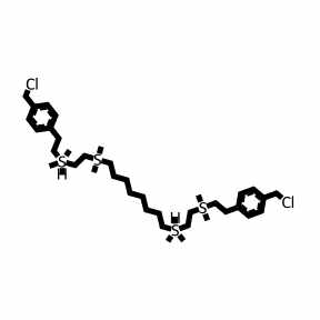 CS(C)(CCc1ccc(CCl)cc1)CC[SH](C)(C)(C)CCCCCCCCS(C)(C)CC[SH](C)(C)(C)CCc1ccc(CCl)cc1